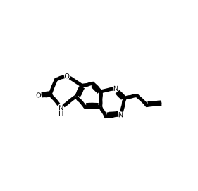 C=CCc1ncc2cc3c(cc2n1)OCC(=O)N3